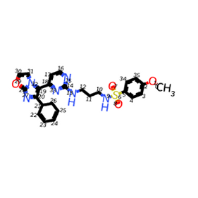 COc1ccc(S(=O)(=O)NCCCNc2nccc(-c3c(C4C=CC=CC4)nc4occn34)n2)cc1